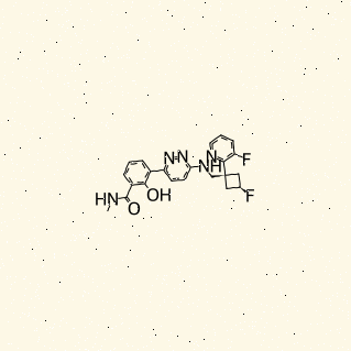 CNC(=O)c1cccc(-c2ccc(NC[C@]3(c4ncccc4F)C[C@H](F)C3)nn2)c1O